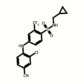 N#Cc1ccc(Nc2ccc(S(=O)(=O)NCC3CC3)c(C(F)(F)F)c2)c(Cl)c1